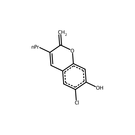 C=C1Oc2cc(O)c(Cl)cc2C=C1CCC